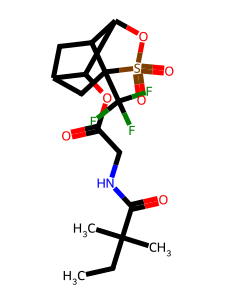 CCC(C)(C)C(=O)NCC(=O)OC1C2CC3C1OS(=O)(=O)C3(C(F)(F)F)C2